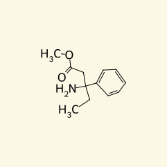 CCC(N)(CC(=O)OC)c1ccccc1